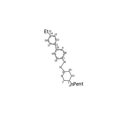 CCCCCC1CCC(CCc2ccc(-c3ccc(CC)cc3)cc2)CC1